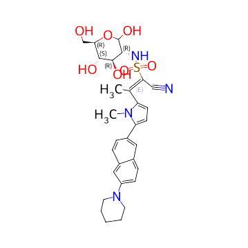 C/C(=C(/C#N)S(=O)(=O)N[C@H]1C(O)O[C@H](CO)[C@@H](O)[C@@H]1O)c1ccc(-c2ccc3cc(N4CCCCC4)ccc3c2)n1C